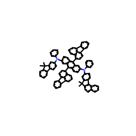 CC1(C)c2ccccc2-c2ccc(N(c3ccccc3)c3ccc4c(-c5ccc6c7c(cccc57)-c5ccccc5-6)c5cc(N(c6ccccc6)c6ccc7c(c6)C(C)(C)c6ccc8ccccc8c6-7)ccc5c(-c5ccc6c7c(cccc57)-c5ccccc5-6)c4c3)cc21